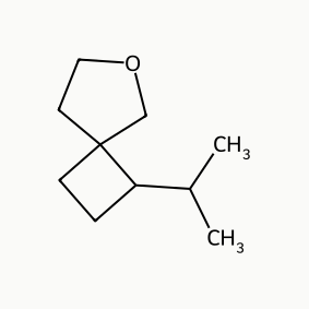 CC(C)C1CCC12CCOC2